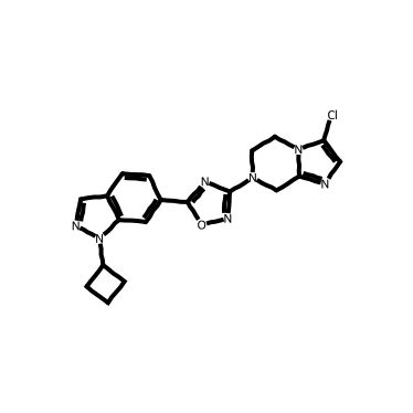 Clc1cnc2n1CCN(c1noc(-c3ccc4cnn(C5CCC5)c4c3)n1)C2